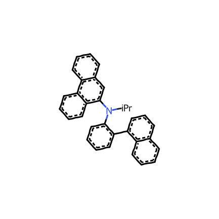 CC(C)N(c1ccccc1-c1cccc2ccccc12)c1cc2ccccc2c2ccccc12